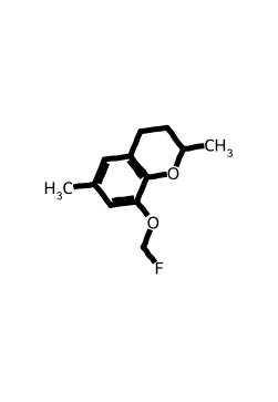 Cc1cc2c(c(OCF)c1)OC(C)CC2